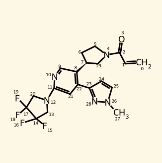 C=CC(=O)N1CC[C@H](c2cnc(N3CC(F)(F)C(F)(F)C3)cc2-c2ccn(C)n2)C1